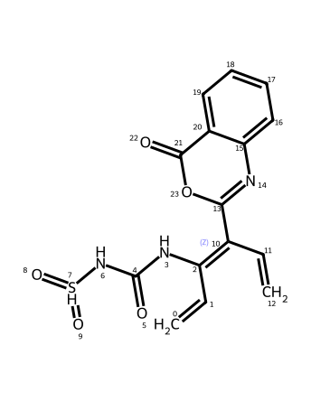 C=C/C(NC(=O)N[SH](=O)=O)=C(\C=C)c1nc2ccccc2c(=O)o1